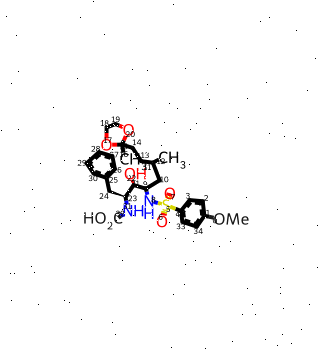 COc1ccc(S(=O)(=O)NC(CC(C)CCC2(C)OCCO2)[C@H](O)[C@H](Cc2ccccc2)NC(=O)O)cc1